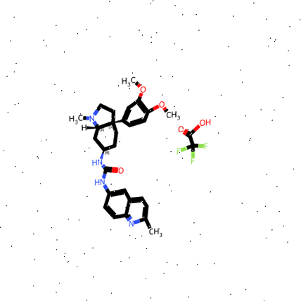 COc1ccc([C@@]23CC[C@@H](NC(=O)Nc4ccc5nc(C)ccc5c4)C[C@@H]2N(C)CC3)cc1OC.O=C(O)C(F)(F)F